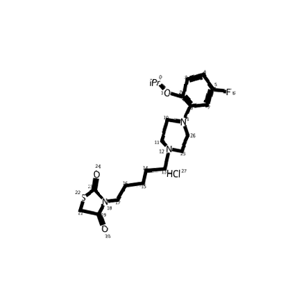 CC(C)Oc1ccc(F)cc1N1CCN(CCCCCN2C(=O)CSC2=O)CC1.Cl